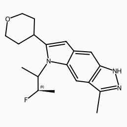 Cc1n[nH]c2cc3cc(C4CCOCC4)n(C(C)[C@@H](C)F)c3cc12